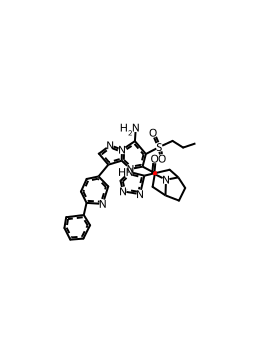 CCCS(=O)(=O)c1c(C2CC3CCC(C2)N3C(=O)c2nnc[nH]2)nc2c(-c3ccc(-c4ccccc4)nc3)cnn2c1N